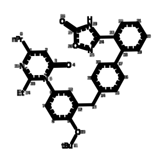 CCCc1cc(=O)n(-c2ccc(OC(C)(C)C)c(Cc3ccc(-c4ccccc4-c4noc(=O)[nH]4)cc3)c2)c(CC)n1